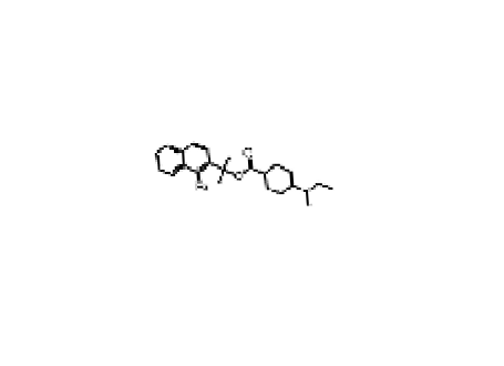 CCC(C)C1CCC(C(=O)OC(C)(C)c2ccc3ccccc3c2Br)CC1